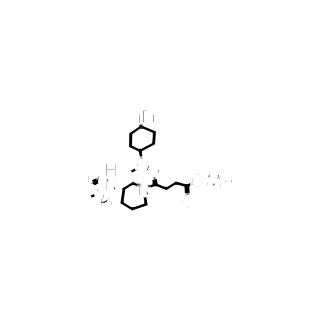 COC(=O)CCC(=O)N1CCC[C@H](NS(C)(=O)=O)[C@@H]1COC1CCC(C(C)C)CC1